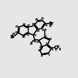 CC1=Cc2c(cccc2C(F)(F)F)C1C(C)C1c2cc(Br)ccc2-c2ccc(Br)cc21